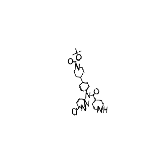 CC(C)(C)OC(=O)N1CCC(c2ccc(N(C(=O)C3CCNCC3)c3ccc(Cl)nn3)cc2)CC1